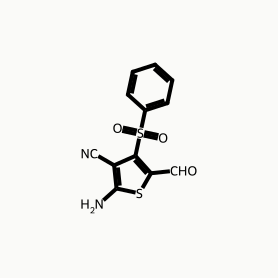 N#Cc1c(N)sc(C=O)c1S(=O)(=O)c1ccccc1